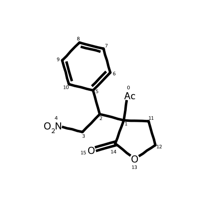 CC(=O)C1(C(C[N+](=O)[O-])c2ccccc2)CCOC1=O